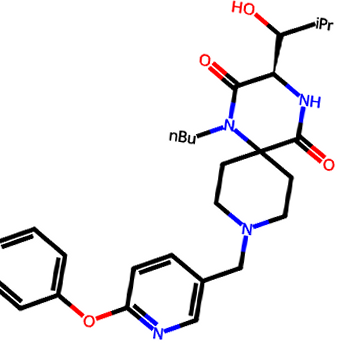 CCCCN1C(=O)[C@@H](C(O)C(C)C)NC(=O)C12CCN(Cc1ccc(Oc3ccccc3)nc1)CC2